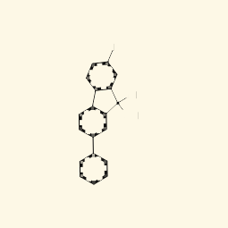 CC1(C)c2cc(I)ccc2-c2ccc(-c3ccccc3)cc21